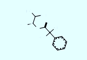 CC(C)[C@H](C)OC(=O)C(C)(C)c1ccccc1